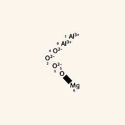 [Al+3].[Al+3].[O-2].[O-2].[O-2].[O]=[Mg]